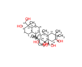 C=CCC1[C@@]2(C)CC[C@H](O)[C@](C)(CO)C2CC[C@@]1(C)[C@@]1(C)CC2CC(C)(C)[C@@H](O)[C@H](O)[C@]2(CO)[C@H](O)[C@@H]1O